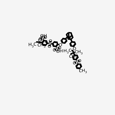 CCC(C)(C)c1ccc(S(=O)(=O)c2ccc(Oc3ccc(C45CC6CC(C4)CC(c4ccc(OC(C)C(C)(CC)c7ccc(S(=O)(=O)c8ccc(C)cc8)cc7)cc4)(C6)C5)cc3)c(S(=O)(=O)O)c2)cc1S(=O)(=O)O